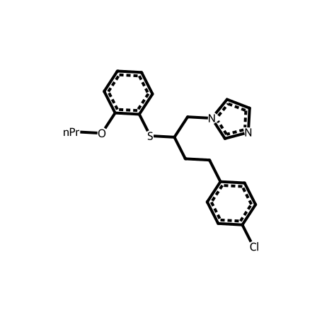 CCCOc1ccccc1SC(CCc1ccc(Cl)cc1)Cn1ccnc1